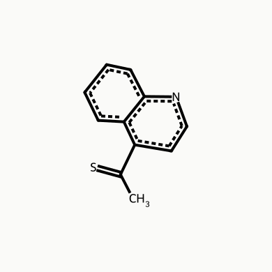 CC(=S)c1ccnc2ccccc12